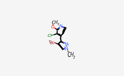 COc1nccc(-c2nn(C)cc2Br)c1Cl